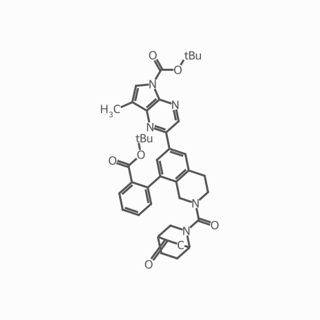 Cc1cn(C(=O)OC(C)(C)C)c2ncc(-c3cc4c(c(-c5ccccc5C(=O)OC(C)(C)C)c3)CN(C(=O)N3CC5CCC3CC5=O)CC4)nc12